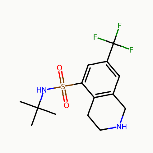 CC(C)(C)NS(=O)(=O)c1cc(C(F)(F)F)cc2c1CCNC2